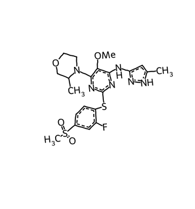 COc1c(Nc2cc(C)[nH]n2)nc(Sc2ccc(S(C)(=O)=O)cc2F)nc1N1CCOCC1C